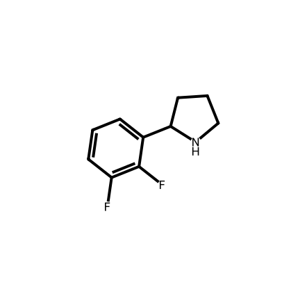 Fc1cccc(C2CCCN2)c1F